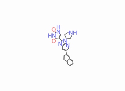 O=c1[nH]cc(-c2nc3cc(-c4ccc5ccccc5c4)cnc3n2C2CCNCC2)c(=O)[nH]1